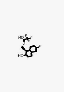 C#Cc1c(O)ccc2cc(F)ccc12.O=C(O)C(F)(F)F